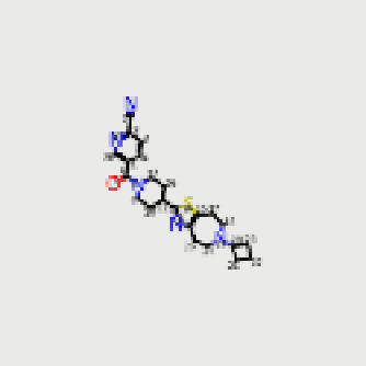 N#Cc1ccc(C(=O)N2CCC(c3nc4c(s3)CCN(C3CCC3)CC4)CC2)cn1